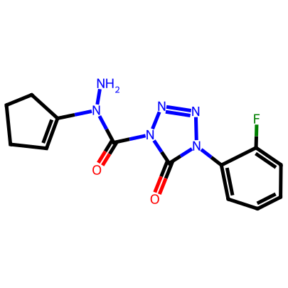 NN(C(=O)n1nnn(-c2ccccc2F)c1=O)C1=CCCC1